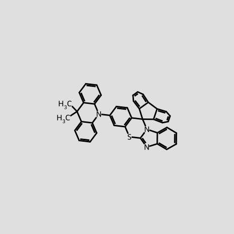 CC1(C)c2ccccc2N(c2ccc3c(c2)Sc2nc4ccccc4n2C32c3ccccc3-c3ccccc32)c2ccccc21